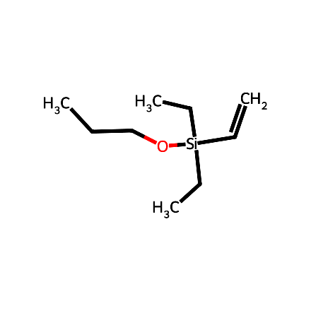 C=C[Si](CC)(CC)OCCC